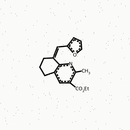 CCOC(=O)c1cc2c(nc1C)/C(=C\c1ccco1)CCC2